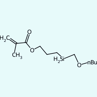 C=C(C)C(=O)OCCC[SiH2]COCCCC